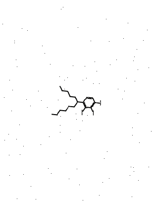 CCCCCCC(CCCCC)c1ccc(I)c(I)c1I